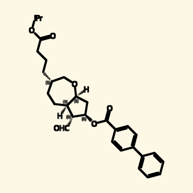 CC(C)OC(=O)CCC[C@H]1CC[C@@H]2[C@@H](C=O)[C@H](OC(=O)c3ccc(-c4ccccc4)cc3)C[C@@H]2OC1